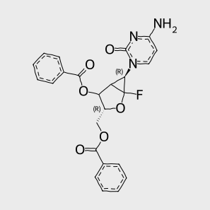 Nc1ccn([C@@H]2C3C(OC(=O)c4ccccc4)[C@@H](COC(=O)c4ccccc4)OC32F)c(=O)n1